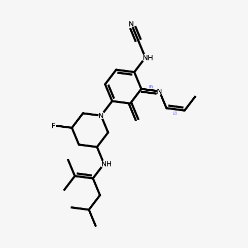 C=C1C(N2CC(F)CC(NC(CC(C)C)=C(C)C)C2)=CC=C(NC#N)/C1=N/C=C\C